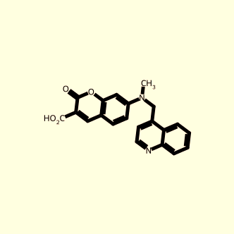 CN(Cc1ccnc2ccccc12)c1ccc2cc(C(=O)O)c(=O)oc2c1